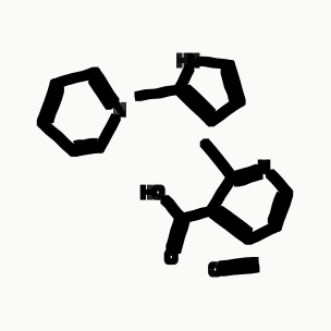 C=O.Cc1ccc[nH]1.Cc1ncccc1C(=O)O.c1ccncc1